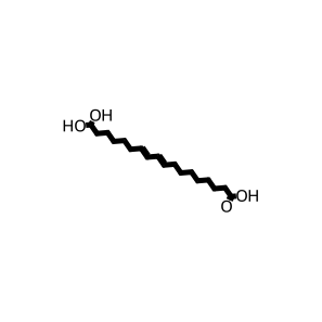 O=C(O)CCCCCCCC=CC=CCCCCCC(O)O